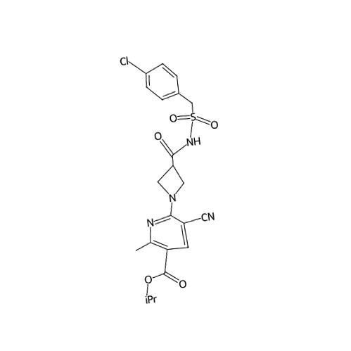 Cc1nc(N2CC(C(=O)NS(=O)(=O)Cc3ccc(Cl)cc3)C2)c(C#N)cc1C(=O)OC(C)C